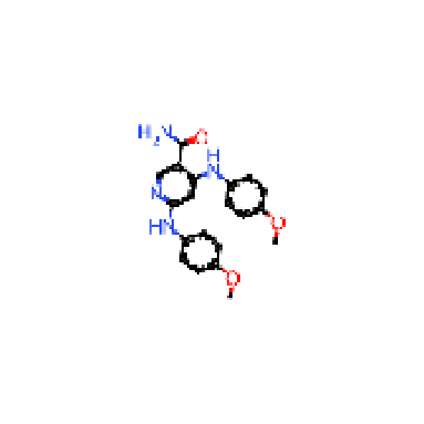 COc1ccc(Nc2cc(Nc3ccc(OC)cc3)c(C(N)=O)cn2)cc1